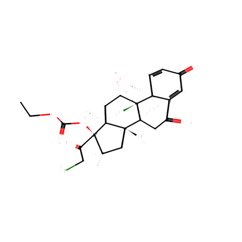 CCOC(=O)O[C@]1(C(=O)CCl)[C@@H](C)C[C@H]2[C@@H]3CC(=O)C4=CC(=O)C=C[C@]4(C)[C@@]3(F)[C@@H](O)C[C@@]21C